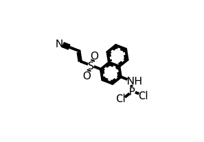 N#CC=CS(=O)(=O)c1ccc(NP(Cl)Cl)c2ccccc12